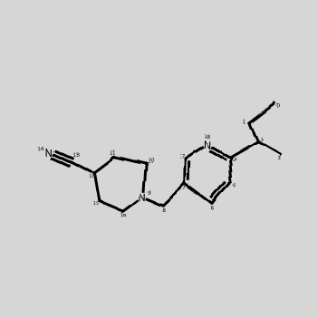 CCC(C)c1ccc(CN2CCC(C#N)CC2)cn1